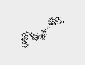 Cc1c(-c2ccc(N3CCc4cccc(C(=O)Nc5nc6ccccc6s5)c4C3)nc2C(=O)O)cnn1C[C@]12CC3CC(C1)C[C@](C(=O)NCCOCCNc1cccc4c1C(=O)N(C1CCC(=O)NC1=O)C4=O)(C3)C2